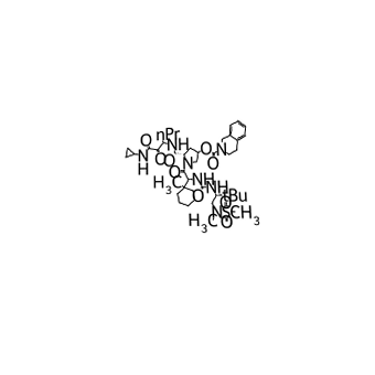 CCCC(NC(=O)[C@@H]1C[C@@H](OC(=O)N2CCc3ccccc3C2)CN1C(=O)[C@@H](NC(=O)N[C@H](CN(C)S(C)(=O)=O)C(C)(C)C)C1(C)CCCCC1)C(=O)C(=O)NC1CC1